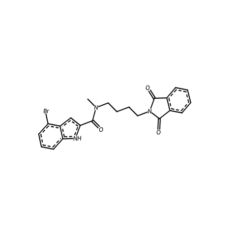 CN(CCCCN1C(=O)c2ccccc2C1=O)C(=O)c1cc2c(Br)cccc2[nH]1